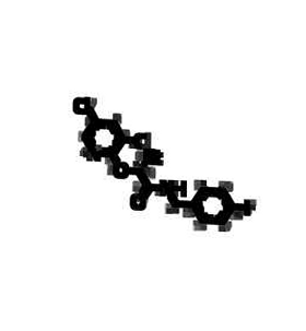 CC[C@@H](Oc1ncc(Cl)cc1Cl)C(=O)NCc1ccc(F)cc1